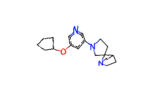 c1ncc(N2CCC3(C2)C2CCN3CC2)cc1OC1CCCC1